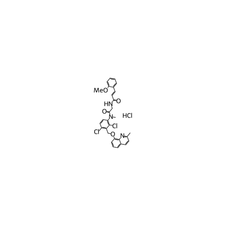 COc1ccccc1C=CC(=O)NCC(=O)N(C)c1ccc(Cl)c(COc2cccc3ccc(C)nc23)c1Cl.Cl